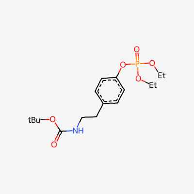 CCOP(=O)(OCC)Oc1ccc(CCNC(=O)OC(C)(C)C)cc1